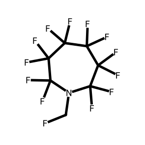 FCN1C(F)(F)C(F)(F)C(F)(F)C(F)(F)C(F)(F)C1(F)F